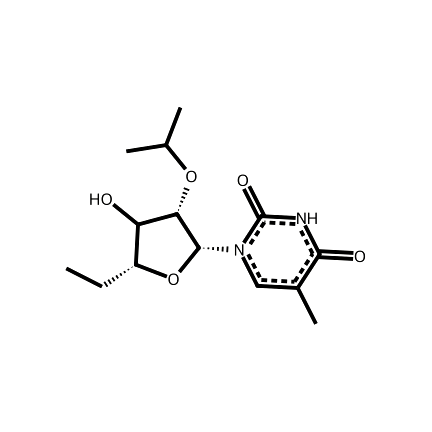 CC[C@H]1O[C@@H](n2cc(C)c(=O)[nH]c2=O)[C@@H](OC(C)C)C1O